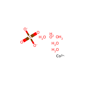 O.O.O.O.O.O=S(=O)([O-])[O-].[Co+2]